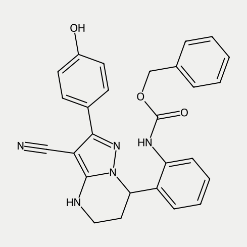 N#Cc1c(-c2ccc(O)cc2)nn2c1NCCC2c1ccccc1NC(=O)OCc1ccccc1